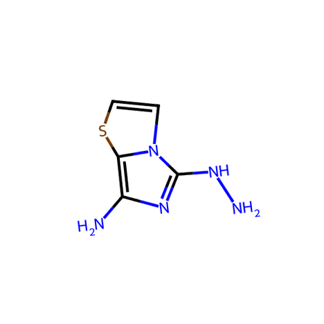 NNc1nc(N)c2sccn12